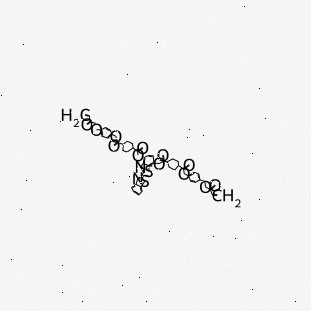 C=CC(=O)COc1ccc(OC(=O)C2CCC(C(=O)Oc3ccc(OC(=O)C4CCC(C(=O)Oc5ccc(COC(=O)C=C)cc5)CC4)c4sc(-c5nc6ccccc6s5)nc34)CC2)cc1